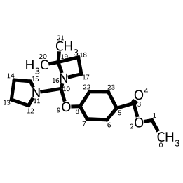 CCOC(=O)C1CCC(OC(N2CCCC2)N2CCC2(C)C)CC1